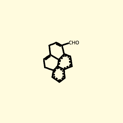 O=CC1=CCC2=CCc3cccc4ccc1c2c34